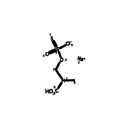 CN(COS(=O)([O-])=S)C(=O)O.[Na+]